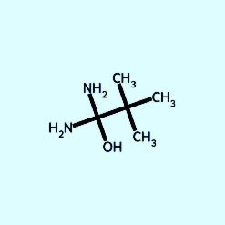 CC(C)(C)C(N)(N)O